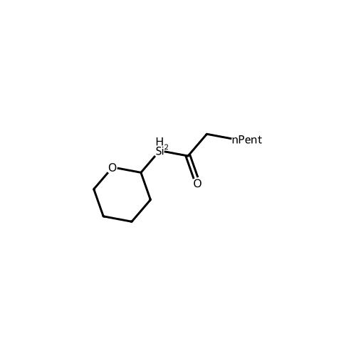 CCCCCCC(=O)[SiH2]C1CCCCO1